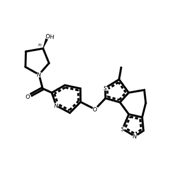 Cc1sc(Oc2ccc(C(=O)N3CC[C@@H](O)C3)nc2)c2c1CCc1cnsc1-2